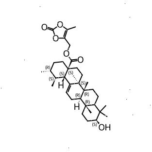 Cc1oc(=O)oc1COC(=O)[C@]12CC[C@@H](C)[C@H](C)[C@H]1C1=CC[C@@H]3[C@@]4(C)CC[C@H](O)C(C)(C)C4CC[C@@]3(C)[C@]1(C)CC2